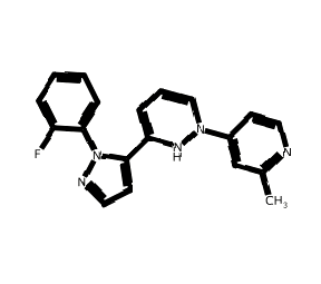 Cc1cc(N2C=CC=C(c3ccnn3-c3ccccc3F)N2)ccn1